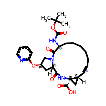 CC(C)(C)OC(=O)N[C@H]1CCCCC/C=C\[C@@H]2C[C@@]2(C(=O)O)NC(=O)[C@@H]2C[C@@H](Oc3ccccn3)CN2C1=O